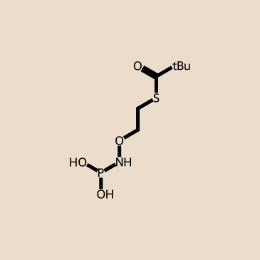 CC(C)(C)C(=O)SCCONP(O)O